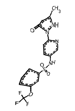 Cc1cc(=O)n(-c2ccc(NS(=O)(=O)c3cccc(OC(F)(F)F)c3)cn2)[nH]1